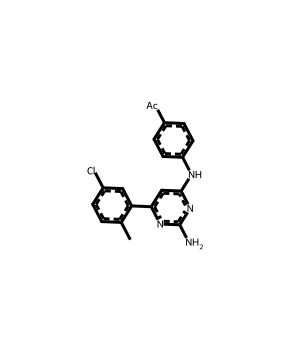 CC(=O)c1ccc(Nc2cc(-c3cc(Cl)ccc3C)nc(N)n2)cc1